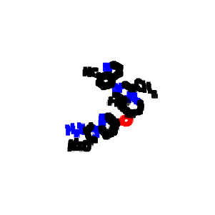 CO[C@H]1CN(c2ccc(O[C@H]3CCN4[C@@H](C3)CN(c3ccc(C#N)c5ncccc35)C[C@H]4C)cn2)C[C@H]1N